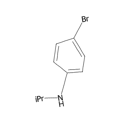 CC(C)Nc1ccc(Br)cc1